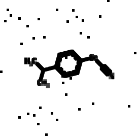 CC(C)c1ccc([Se]C#N)cc1